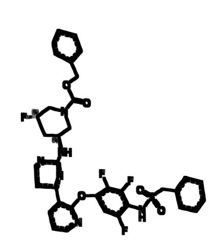 O=C(OCc1ccccc1)N1C[C@@H](F)C[C@H](Nc2nccc(-c3cccnc3Oc3cc(F)c(NS(=O)(=O)Cc4ccccc4)c(F)c3F)n2)C1